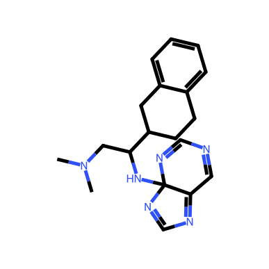 CN(C)CC(NC12N=CN=CC1=NC=N2)C1CCc2ccccc2C1